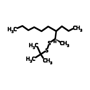 CCCCCCC(CCC)[C@H](C)SSC(C)(C)C